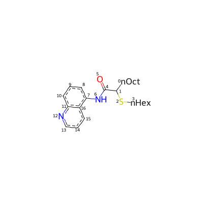 CCCCCCCCC(SCCCCCC)C(=O)Nc1cccc2ncccc12